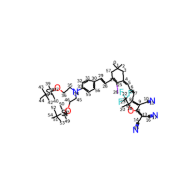 CC1(C)CC(=CC=CC2=C(C#N)C(=C(C#N)C#N)OC2(C)C(F)(F)F)C(I)=C(C=Cc2ccc(N(CCO[Si](C)(C)C(C)(C)C)CCO[Si](C)(C)C(C)(C)C)cc2)C1